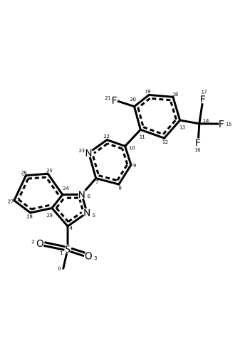 CS(=O)(=O)c1nn(-c2ccc(-c3cc(C(F)(F)F)ccc3F)cn2)c2c[c]ccc12